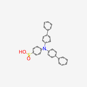 O=S(O)c1ccc(N(c2ccc(-c3ccccc3)cc2)c2ccc(-c3ccccc3)cc2)cc1